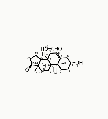 C[C@]12CC[C@H](O)CC1=CC[C@@H]1[C@@H]2CC[C@]2(C)C(=O)CC[C@@H]12.O=CO